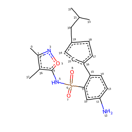 Cc1noc(NS(=O)(=O)c2cc(N)ccc2-c2ccc(CC(C)C)cc2)c1C